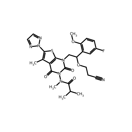 COc1ccc(F)cc1C(Cn1c(=O)n(N(C)C(=O)C(C)C)c(=O)c2c(C)c(-n3nccn3)sc21)OCCC#N